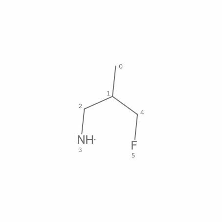 CC(C[NH])CF